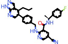 CCCc1c(-c2ccc(CNc3ncc(C#N)cc3C(=O)N[C@@H](C)c3ccc(F)cc3)cc2)cnc2[nH]ncc12